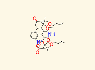 CCCCOC(=O)C12C(C3=C(C)NC(CC)=C(C4C(C)CC(=O)C5C(C)(C)C45C(=O)OCCCC)C3c3ccccc3[N+](=O)[O-])C(C)CC(=O)C1C2(C)C